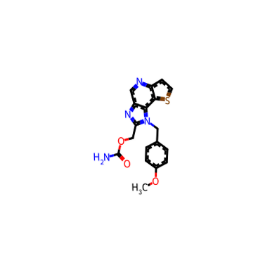 COc1ccc(Cn2c(COC(N)=O)nc3cnc4ccsc4c32)cc1